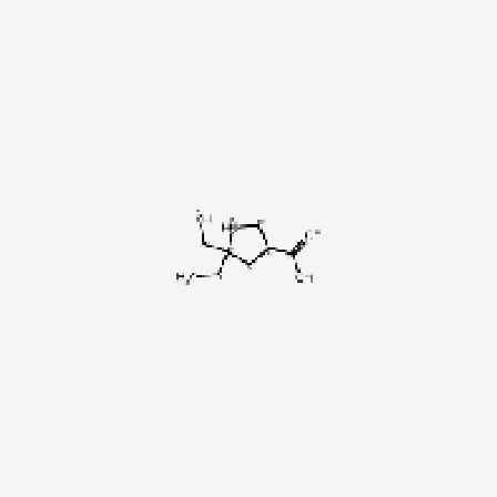 CCC1(CC)CC(C(=O)O)CN1